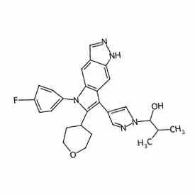 CC(C)C(O)n1cc(-c2c(C3CCOCC3)n(-c3ccc(F)cc3)c3cc4cn[nH]c4cc23)cn1